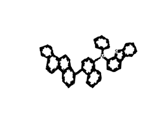 c1ccc(N(c2ccc(-c3cccc4c3ccc3c5ccccc5ccc43)c3ccccc23)c2cccc3c2sc2ccccc23)cc1